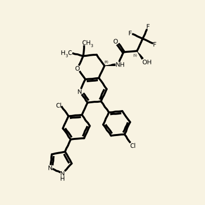 CC1(C)C[C@@H](NC(=O)[C@H](O)C(F)(F)F)c2cc(-c3ccc(Cl)cc3)c(-c3ccc(-c4cn[nH]c4)cc3Cl)nc2O1